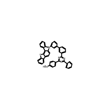 CCCCc1ccc(-c2nc(-c3ccccc3)nc(-c3cccc(-c4cccc(-n5c6ccccc6c6c7sc8ccccc8c7ccc65)c4)c3)n2)cc1